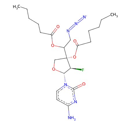 CCCCCC(=O)OC(CN=[N+]=[N-])[C@]1(OC(=O)CCCCC)CO[C@@H](n2ccc(N)nc2=O)[C@@H]1F